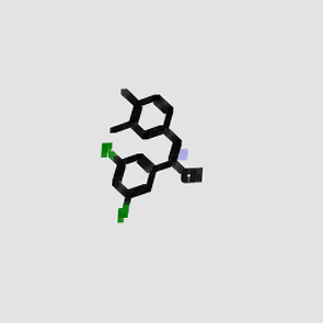 Cc1ccc(/C=C(/C#N)c2cc(F)cc(F)c2)cc1C